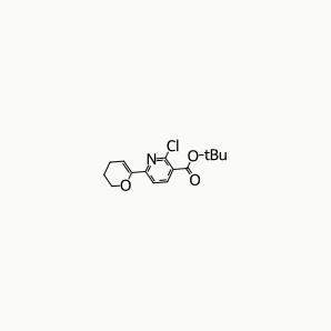 CC(C)(C)OC(=O)c1ccc(C2=CCCCO2)nc1Cl